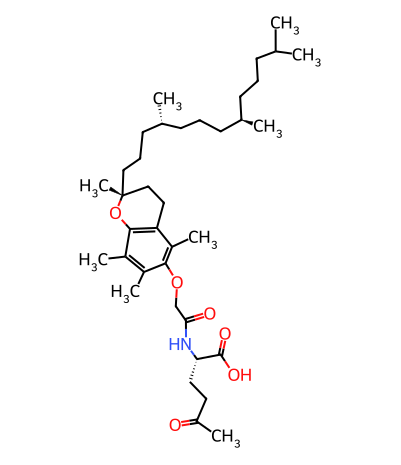 CC(=O)CC[C@H](NC(=O)COc1c(C)c(C)c2c(c1C)CC[C@@](C)(CCC[C@H](C)CCC[C@H](C)CCCC(C)C)O2)C(=O)O